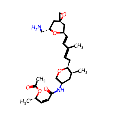 CC(=O)O[C@@H](C)/C=C\C(=O)N[C@H]1CO[C@@H](C/C=C(C)/C=C/[C@@H]2C[C@]3(CO3)C[C@@H](CN)O2)[C@@H](C)C1